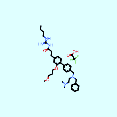 CCCCNC(=N)NC(=O)CCc1ccc(-c2ccc(CN(CCN(C)C)Cc3ccccc3)cc2)c(OCCCOC)c1.O=C(O)C(F)(F)F